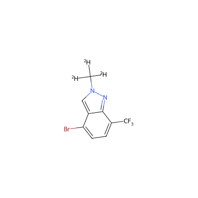 [2H]C([2H])([2H])n1cc2c(Br)ccc(C(F)(F)F)c2n1